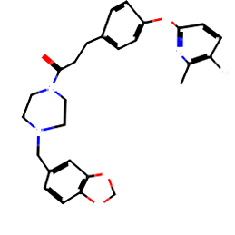 Cc1nc(Oc2ccc(CCC(=O)N3CCN(Cc4ccc5c(c4)OCO5)CC3)cc2)ccc1[N+](=O)[O-]